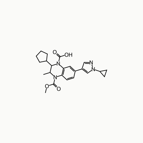 COC(=O)N1c2ccc(-c3cnn(C4CC4)c3)cc2N(C(=O)O)C(C2CCCC2)C1C